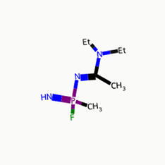 CCN(CC)/C(C)=N/P(C)(=N)F